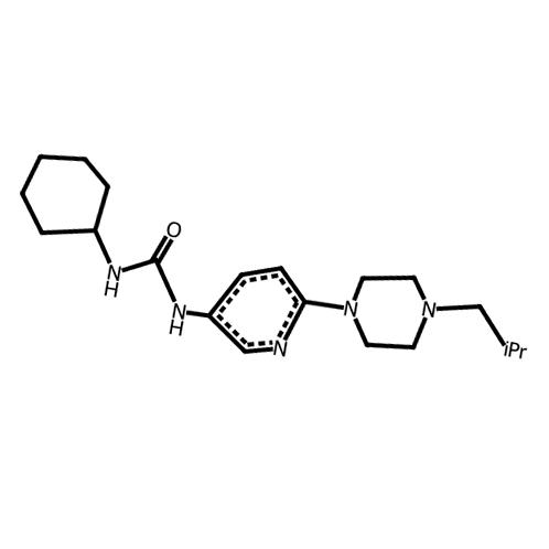 CC(C)CN1CCN(c2ccc(NC(=O)NC3CCCCC3)cn2)CC1